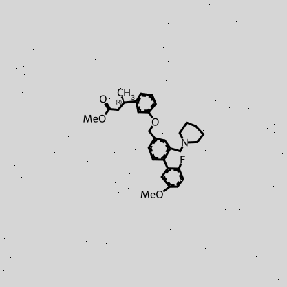 COC(=O)C[C@@H](C)c1cccc(OCc2ccc(-c3cc(OC)ccc3F)c(CN3CCCCC3)c2)c1